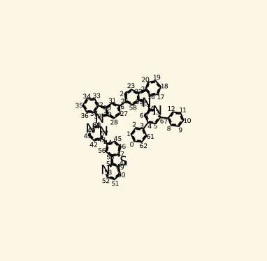 c1ccc(-c2cc(-c3ccccc3)nc(-n3c4ccccc4c4ccc(-c5ccc6c(c5)c5ccccc5n6-c5nccc(-c6ccc7sc8cccnc8c7c6)n5)cc43)c2)cc1